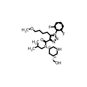 COCCCCc1c(C(=O)N(CC(C)C)[C@@H]2CNC[C@H](CO)C2)nnn1-c1c(F)cccc1F